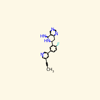 CC#Cc1cncc(-c2ccc(F)c(C3Cc4ncncc4C(=N)N3)c2)c1